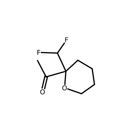 CC(=O)C1(C(F)F)CCCCO1